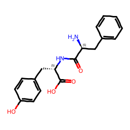 N[C@@H](Cc1ccccc1)C(=O)N[C@@H](Cc1ccc(O)cc1)C(=O)O